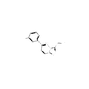 Fc1cccc(-c2ccc3nnc(CCl)n3n2)c1